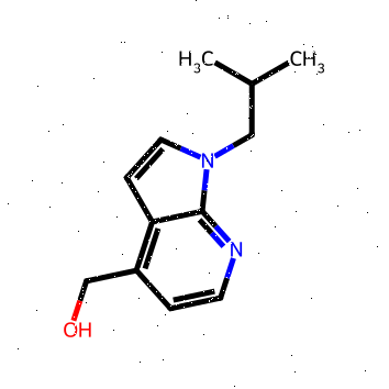 CC(C)Cn1ccc2c(CO)ccnc21